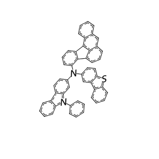 c1ccc(-n2c3ccccc3c3ccc(N(c4ccc5sc6ccccc6c5c4)c4cccc5c4-c4cccc6cc7ccccc7c-5c46)cc32)cc1